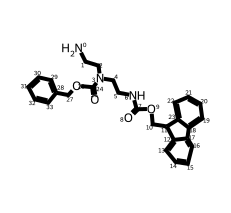 NCCN(CCNC(=O)OCC1c2ccccc2-c2ccccc21)C(=O)OCc1ccccc1